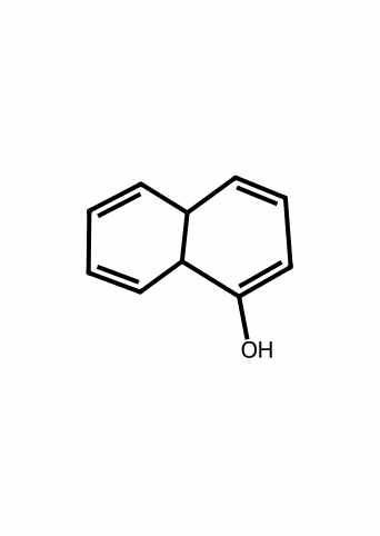 OC1=CC=CC2C=CC=CC12